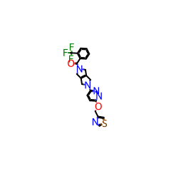 O=C(c1ccccc1C(F)(F)F)N1CC2=C(C1)CN(c1ccc(OCc3cscn3)nn1)C2